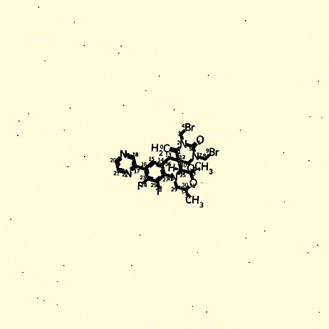 C=C1N(CBr)C(=O)N(CBr)C(=O)C12Cc1cc(-c3cnccn3)c(F)c(F)c1N1C[C@H](C)OC(C)[C@H]12